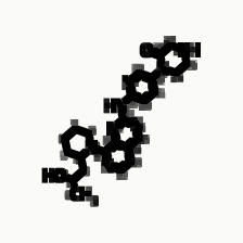 C[C@@H](O)CC1CCCCN1c1nccc2cnc(Nc3ccc(N4CCNCC4=O)cn3)nc12